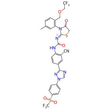 Cc1ccc(COCC(F)(F)F)c(N2C(=O)CS/C2=N\C(=O)Nc2ccc(-c3ncn(-c4ccc(S(=O)(=O)C(F)(F)F)cc4)n3)cc2C#N)c1